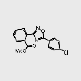 COC(=O)c1ccccc1-c1noc(-c2ccc(Cl)cc2)n1